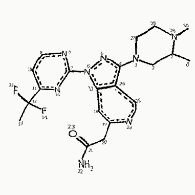 CC1CN(c2nn(-c3nccc(C(C)(F)F)n3)c3cc(CC(N)=O)ncc23)CCN1C